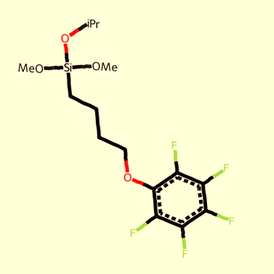 CO[Si](CCCCOc1c(F)c(F)c(F)c(F)c1F)(OC)OC(C)C